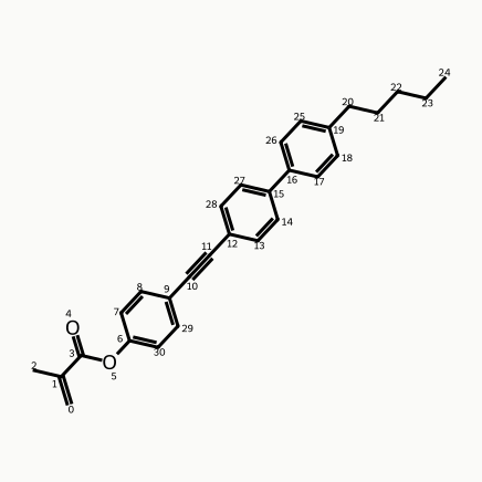 C=C(C)C(=O)Oc1ccc(C#Cc2ccc(-c3ccc(CCCCC)cc3)cc2)cc1